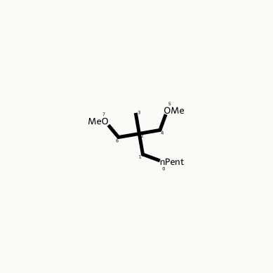 CCCCCCC(C)(COC)COC